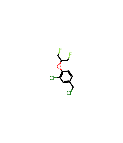 FCC(CF)Oc1ccc(CCl)cc1Cl